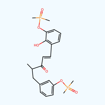 CC(Cc1cccc(OP(C)(C)=O)c1)C(=O)/C=C/c1cccc(OP(C)(C)=O)c1O